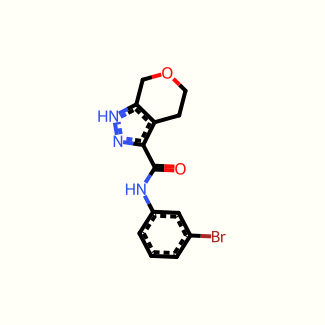 O=C(Nc1cccc(Br)c1)c1n[nH]c2c1CCOC2